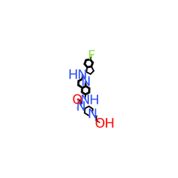 CN(C(=O)Nc1ccc2nc(NC3CCc4cc(F)ccc43)ccc2c1)C1CCN(CCO)CC1